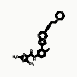 Cc1nc(C)c(C(=O)Nc2ccc(F)c(-c3cn4cc(C#CCCN5CCOCC5)cnc4n3)c2)o1